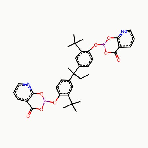 CCC(C)(c1ccc(OP2OC(=O)c3cccnc3O2)c(C(C)(C)C)c1)c1ccc(OP2OC(=O)c3cccnc3O2)c(C(C)(C)C)c1